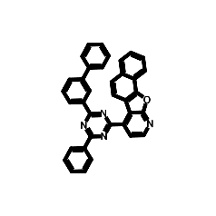 c1ccc(-c2cccc(-c3nc(-c4ccccc4)nc(-c4ccnc5oc6c7ccccc7ccc6c45)n3)c2)cc1